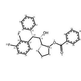 O=C(ON1CCC[C@@H]1[C@@H](O)[C@@H](c1ccccc1)c1cccc(F)c1F)c1ccccc1